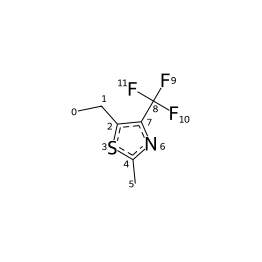 CCc1sc(C)nc1C(F)(F)F